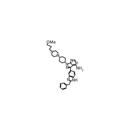 COCCCN1CCN([C@H]2CC[C@@H](n3nc(-c4ccc5[nH]c(Cc6ccccc6)nc5c4)c4c(N)ncnc43)CC2)CC1